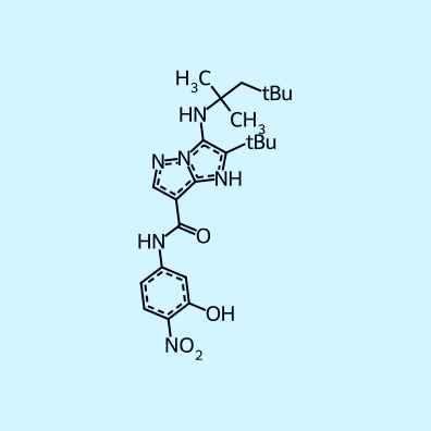 CC(C)(C)CC(C)(C)Nc1c(C(C)(C)C)[nH]c2c(C(=O)Nc3ccc([N+](=O)[O-])c(O)c3)cnn12